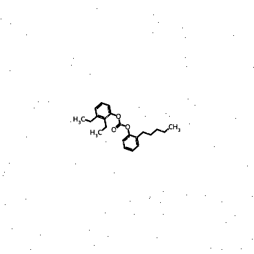 CCCCCc1ccccc1OC(=O)Oc1cccc(CC)c1CC